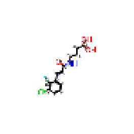 O=C(/C=C/c1cccc(Cl)c1F)NCCCC(O)O